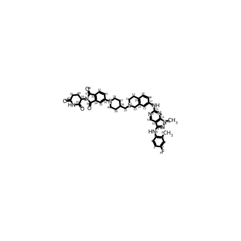 Cc1cc(F)ccc1Nc1nn(C)c2nc(Nc3ccc4c(c3)CN(CC3CCN(c5ccc6c(c5)C(=O)N(C5CCC(=O)NC5=O)C6=O)CC3)CC4)ncc12